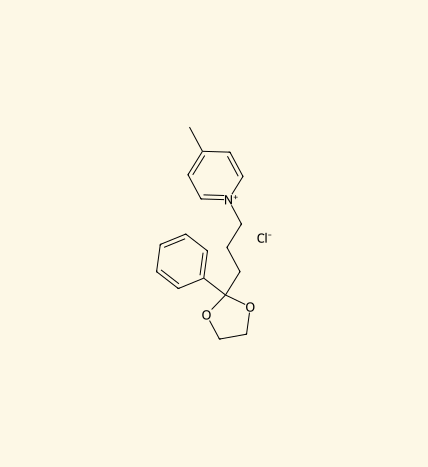 Cc1cc[n+](CCCC2(c3ccccc3)OCCO2)cc1.[Cl-]